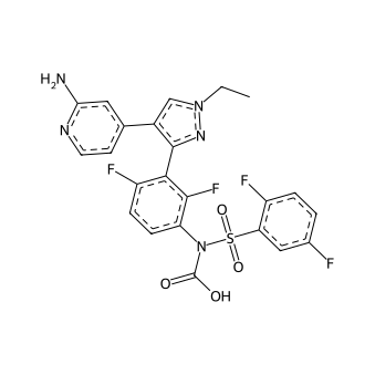 CCn1cc(-c2ccnc(N)c2)c(-c2c(F)ccc(N(C(=O)O)S(=O)(=O)c3cc(F)ccc3F)c2F)n1